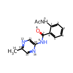 CC(=O)Nc1ccccc1C(=O)Nc1cnc(C)cn1